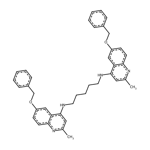 Cc1cc(NCCCCCNc2cc(C)nc3ccc(OCc4ccccc4)cc23)c2cc(OCc3ccccc3)ccc2n1